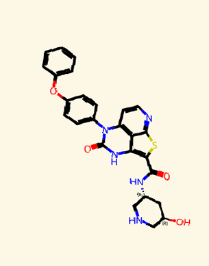 O=C(N[C@H]1CNC[C@H](O)C1)c1sc2nccc3c2c1NC(=O)N3c1ccc(Oc2ccccc2)cc1